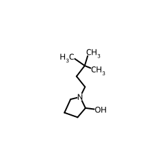 CC(C)(C)CCN1CCCC1O